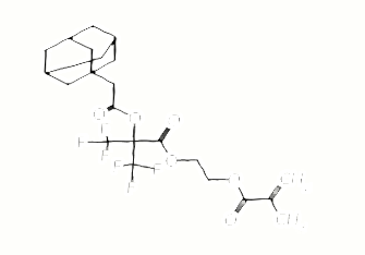 C=C(C)C(=O)OCCOC(=O)C(OC(=O)CC12CC3CC(CC(C3)C1)C2)(C(F)(F)F)C(F)(F)F